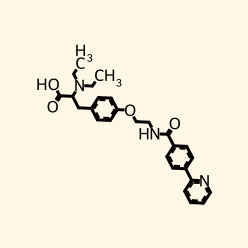 CCN(CC)C(Cc1ccc(OCCNC(=O)c2ccc(-c3ccccn3)cc2)cc1)C(=O)O